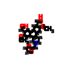 COc1cc2c3c(c4cc(OC)c(CO)cc4c2cc1CO)CN(CC1OCCO1)CC3